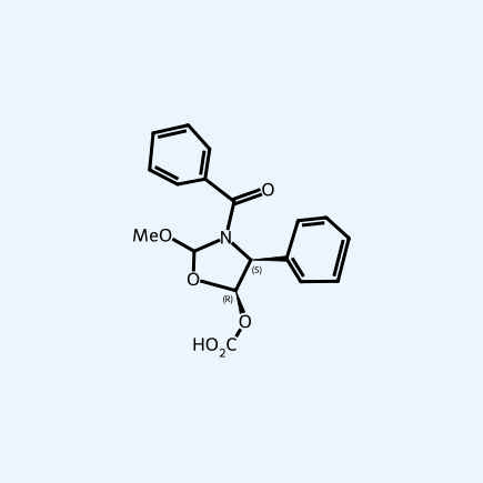 COC1O[C@H](OC(=O)O)[C@H](c2ccccc2)N1C(=O)c1ccccc1